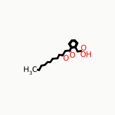 CCCCCCCCCC(=O)CC(=O)c1ccccc1CC(=O)O